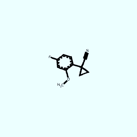 COc1cc(F)ccc1C1(C#N)CC1